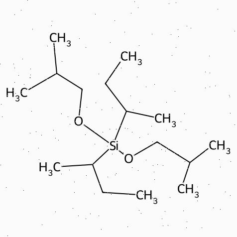 CCC(C)[Si](OCC(C)C)(OCC(C)C)C(C)CC